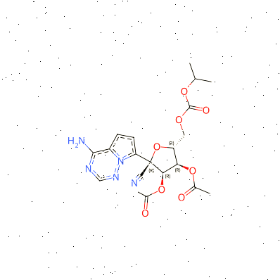 CC(=O)O[C@H]1[C@@H](OC(C)=O)[C@](C#N)(c2ccc3c(N)ncnn23)O[C@@H]1COC(=O)OC(C)C